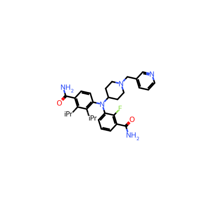 CC(C)c1c(C(N)=O)ccc(N(c2cccc(C(N)=O)c2F)C2CCN(Cc3cccnc3)CC2)c1C(C)C